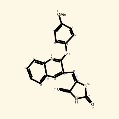 COc1ccc(Sc2nc3ccccc3cc2/C=C2/SC(=O)NC2=O)cc1